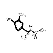 Cc1cc([C@H](N[S@+]([O-])C(C)(C)C)C(F)(F)F)ccc1Br